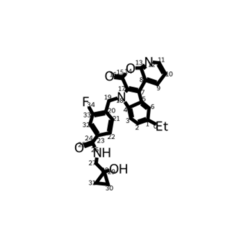 CCc1ccc2c(c1)c1c3cccnc3oc(=O)c1n2Cc1ccc(C(=O)NCC2(O)CC2)cc1F